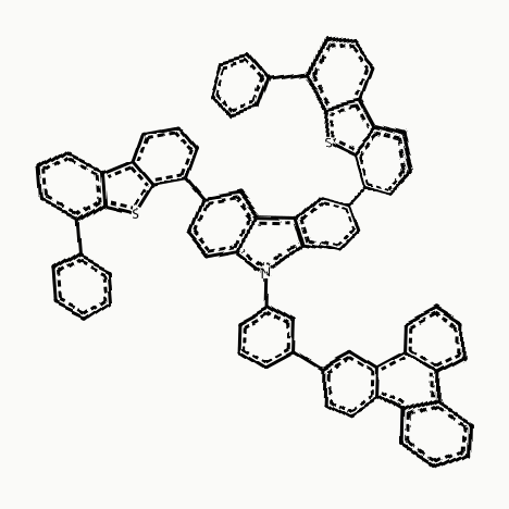 c1ccc(-c2cccc3c2sc2c(-c4ccc5c(c4)c4cc(-c6cccc7c6sc6c(-c8ccccc8)cccc67)ccc4n5-c4cccc(-c5ccc6c7ccccc7c7ccccc7c6c5)c4)cccc23)cc1